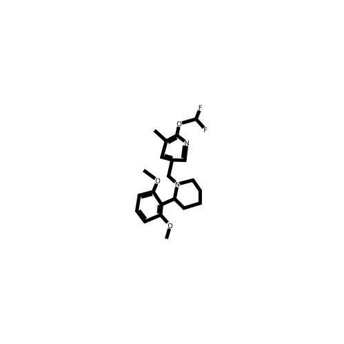 COc1cccc(OC)c1C1CCCCN1Cc1cnc(OC(F)F)c(C)c1